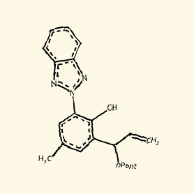 C=CC(CCCCC)c1cc(C)cc(-n2nc3ccccc3n2)c1O